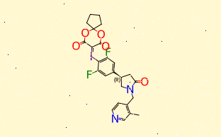 Cc1cnccc1CN1C[C@@H](c2cc(F)c(I=C3C(=O)OC4(CCCC4)OC3=O)c(F)c2)CC1=O